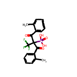 Cc1ccccc1C(=O)C(C(=O)c1ccccc1C)(C(F)(F)F)P(=O)(O)O